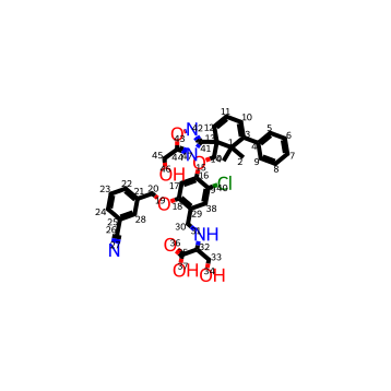 CC1(C)C(c2ccccc2)=CC=CC1(COc1cc(OCc2cccc(C#N)c2)c(CNC(CO)C(=O)O)cc1Cl)c1noc(CO)n1